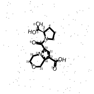 CC(O)[C@H]1CCCN1C(=O)c1cc(C(=O)O)c2n1CCOC2